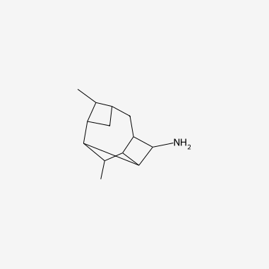 CC1C2CC1C1C(C)C3C(C2)C(N)C13